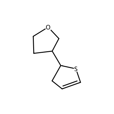 C1=CS[C](C2CCOC2)C1